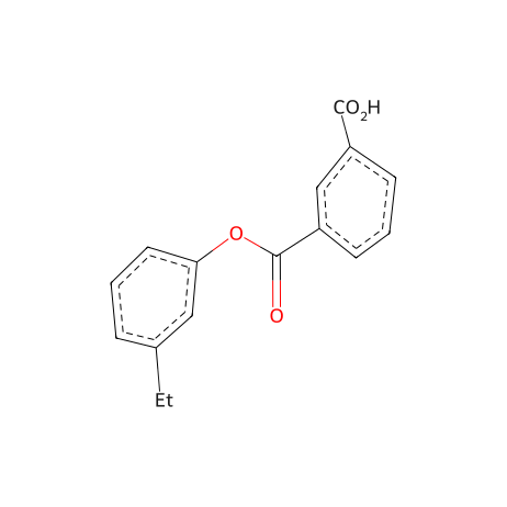 CCc1cccc(OC(=O)c2cccc(C(=O)O)c2)c1